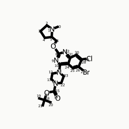 CN1CCCC1COc1nc(N2CCN(C(=O)OC(C)(C)C)CC2)c2cc(Br)c(Cl)cc2n1